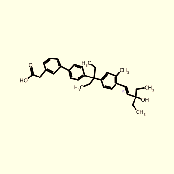 CCC(O)(/C=C/c1ccc(C(CC)(CC)c2ccc(-c3cccc(CC(=O)O)c3)cc2)cc1C)CC